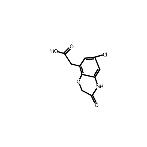 O=C(O)Cc1cc(Cl)cc2c1OCC(=O)N2